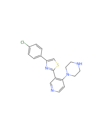 Clc1ccc(-c2csc(-c3cnccc3N3CCNCC3)n2)cc1